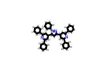 c1ccc(-c2cc(-c3cc(-c4cc(-c5ccccc5)nc(-c5ccccc5)c4)n(-c4ccccc4)n3)cc(-c3ccccc3)n2)cc1